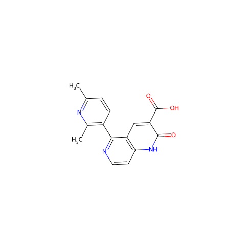 Cc1ccc(-c2nccc3[nH]c(=O)c(C(=O)O)cc23)c(C)n1